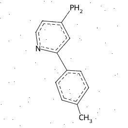 Cc1ccc(-c2cc(P)ccn2)cc1